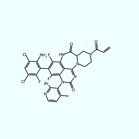 C=CC(=O)N1CCN2c3nc(=O)n(-c4c(C)ccnc4C(C)C)c4c(F)c(-c5c(N)c(Cl)cc(Cl)c5F)c(F)c(c34)NC(=O)C2C1